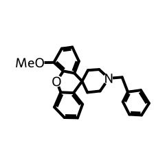 COc1cccc2c1Oc1ccccc1C21CCN(Cc2ccccc2)CC1